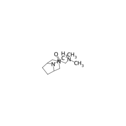 CN(C)CC(=O)N1C2CCC1CN(C)C2